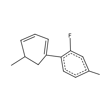 Cc1ccc(C2=CC=CC(C)C2)c(F)c1